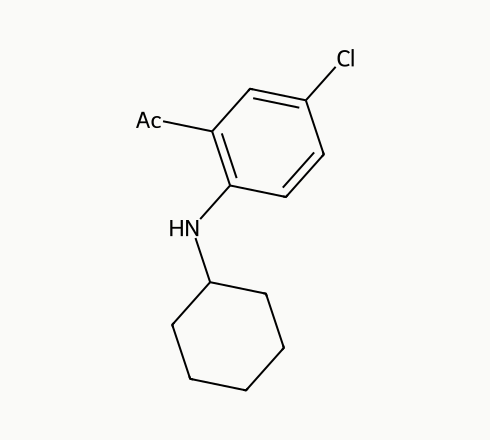 CC(=O)c1cc(Cl)ccc1NC1CCCCC1